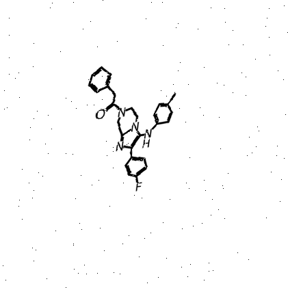 Cc1ccc(Nc2c(-c3ccc(F)cc3)nc3n2CCN(C(=O)Cc2ccccc2)C3)cc1